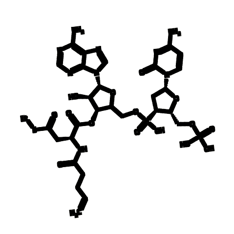 C=CCCC(=O)N[C@@H](CC(=O)SCC)C(=O)O[C@@H]1C(COP(=O)(O)[C@H]2C[C@H](n3ccc(N)nc3=O)O[C@@H]2COP(=O)(O)O)O[C@@H](n2cnc3c(N)ncnc32)[C@@H]1O